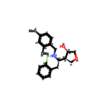 COc1ccc(CN[C@@H](Cc2ccccc2F)[C@H]2COC[C@H]2O)c(OC)c1